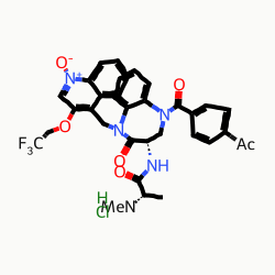 CN[C@@H](C)C(=O)N[C@H]1CN(C(=O)c2ccc(C(C)=O)cc2)c2ccccc2N(Cc2c(OCC(F)(F)F)c[n+]([O-])c3ccccc23)C1=O.Cl